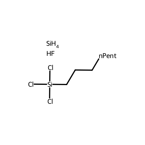 CCCCCCCC[Si](Cl)(Cl)Cl.F.[SiH4]